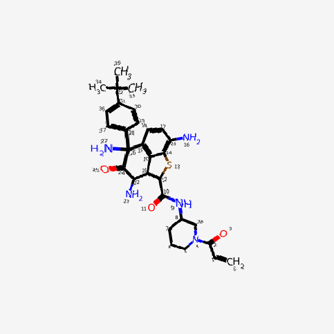 C=CC(=O)N1CCCC(NC(=O)C2Sc3c(N)ccc4c3C2C(N)C(=O)C4(N)c2ccc(C(C)(C)C)cc2)C1